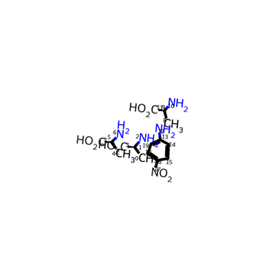 C[C@H](N)C(=O)O.C[C@H](N)C(=O)O.C[C@H](N)C(=O)O.Nc1ccc([N+](=O)[O-])cc1